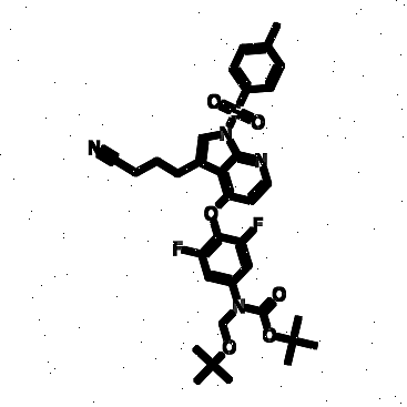 Cc1ccc(S(=O)(=O)n2cc(CCCC#N)c3c(Oc4c(F)cc(N(COC(C)(C)C)C(=O)OC(C)(C)C)cc4F)ccnc32)cc1